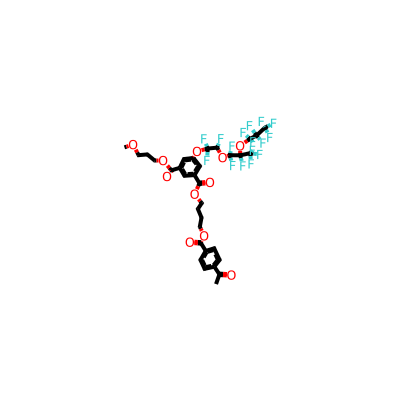 COCCCOC(=O)c1cc(OC(F)(F)C(F)OC(F)(F)C(F)(OC(F)(F)C(F)(F)C(F)(F)F)C(F)(F)F)cc(C(=O)OCCCCOC(=O)c2ccc(C(C)=O)cc2)c1